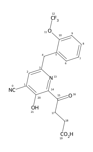 N#Cc1cc(Cc2ccccc2OC(F)(F)F)nc(C(=O)CCC(=O)O)c1O